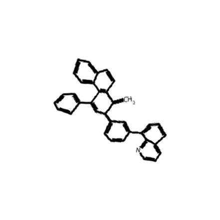 C=C1c2ccc3ccccc3c2C(c2ccccc2)=CC1c1cccc(-c2cccc3cccnc23)c1